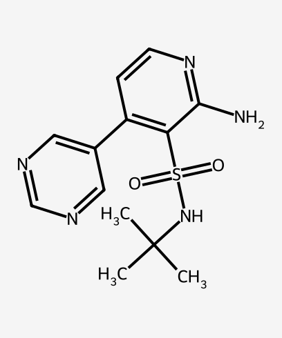 CC(C)(C)NS(=O)(=O)c1c(-c2cncnc2)ccnc1N